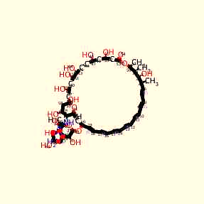 C[C@@H]1[C@H](O)[C@@H](C)/C=C/C=C/C=C/C=C/C=C/C=C/C=C/C(OC2O[C@H](C)[C@@H](O)[C@H](N)[C@@H]2O)C[C@@H]2O[C@](O)(C[C@@H](O)C[C@@H](O)[C@H](O)CC[C@@H](O)C[C@@H](O)CC(=O)O[C@H]1C)C[C@H](O)[C@H]2NC(=O)N1CC[C@H](O)C1